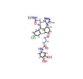 CCNC(=O)C[C@@H]1N=C(c2ccc(Cl)cc2)c2cc(OCCCC(=O)Nc3ccc(O)c(O)c3)ccc2-n2c(C)nnc21